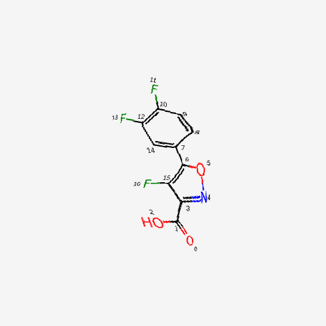 O=C(O)c1noc(-c2ccc(F)c(F)c2)c1F